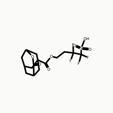 O=C1OC2CC3CC1CC(C(=O)OCCC(F)(F)C(F)(F)S(=O)(=O)O)(C3)C2